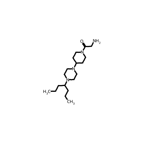 CCCC(CCC)N1CCN(C2CCN(C(=O)CN)CC2)CC1